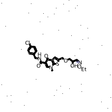 CCO/N=C\C(O)COCc1cc2c(=O)c(C(=O)NCc3ccc(Cl)cc3)cn(C)c2s1